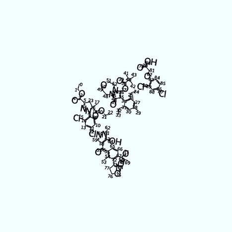 CCOC(=O)C1=NN(c2ccc(Cl)cc2Cl)C(C)(C(=O)OCC)C1.CCc1cc(C)cc(CC)c1-c1c(OC(=O)C(C)(C)C)n2n(c1=O)CCOCC2.Cc1c(C(=O)c2cnn(C)c2O)ccc(S(C)(=O)=O)c1C1=NOCC1.O=C(O)COc1ccc(Cl)cc1Cl